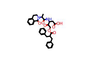 CC(C(=O)NC(CC(=O)O)C(=O)COC(=O)C(Cc1ccccc1)Cc1ccccc1)N1CCc2ccccc2C1=O